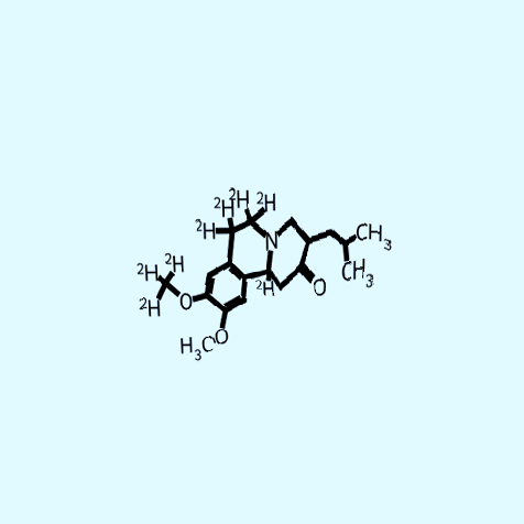 [2H]C([2H])([2H])Oc1cc2c(cc1OC)C1([2H])CC(=O)C(CC(C)C)CN1C([2H])([2H])C2([2H])[2H]